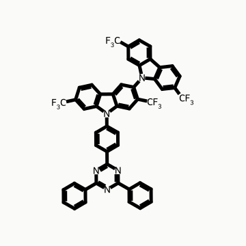 FC(F)(F)c1ccc2c3cc(-n4c5cc(C(F)(F)F)ccc5c5ccc(C(F)(F)F)cc54)c(C(F)(F)F)cc3n(-c3ccc(-c4nc(-c5ccccc5)nc(-c5ccccc5)n4)cc3)c2c1